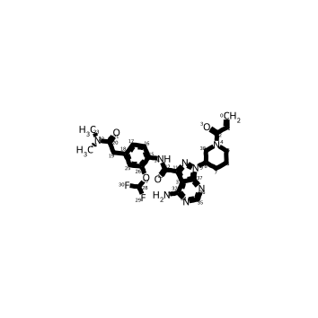 C=CC(=O)N1CCCC(n2nc(C(=O)Nc3ccc(CC(=O)N(C)C)cc3OC(F)F)c3c(N)ncnc32)C1